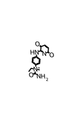 CC[N+](C)(C(N)=O)c1ccc(NC2=NC(=O)C=CC2=O)cc1